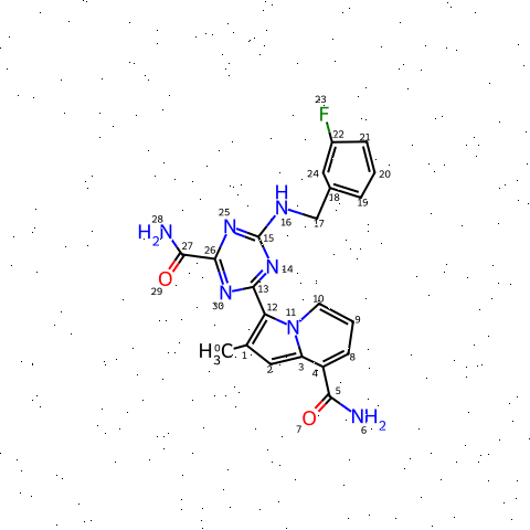 Cc1cc2c(C(N)=O)cccn2c1-c1nc(NCc2cccc(F)c2)nc(C(N)=O)n1